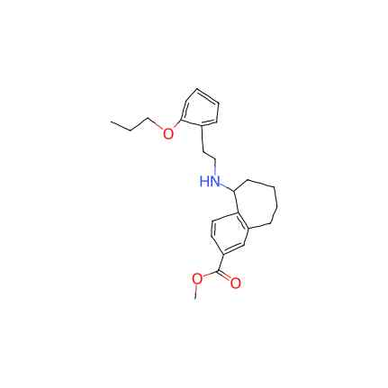 CCCOc1ccccc1CCNC1CCCCc2cc(C(=O)OC)ccc21